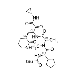 C[C@@H](C(=O)N[C@@H](C[C@@H]1CCCNC1=O)C(=O)C(=O)NC1CC1)N(C)C(=O)[C@H](NC(=O)C(C)(C)C)C1CCCC1